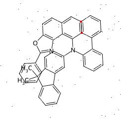 CC1(C)c2ccccc2-c2cc(N(c3ccccc3-c3ccccc3)c3cccc4ccc5oc(-c6ccccc6)nc5c34)ccc21